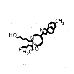 C=CC(C/C=C/F)n1c(CCCCCO)nccc(C2=NCC3(CCC4=CC3C=CC(C)=C4)C2)cccc1=O